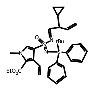 C=Cc1c(S(=O)(=N[Si](c2ccccc2)(c2ccccc2)C(C)(C)C)/N=C/C(C=C)C2CC2)cn(C)c1C(=O)OCC